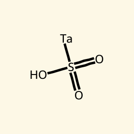 O=[S](=O)(O)[Ta]